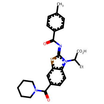 CCC(C(=O)O)n1c(=NC(=O)c2ccc(C)cc2)sc2cc(C(=O)N3CCCCC3)ccc21